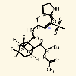 CC(C)(C)[C@@H](NC(=O)C(F)(F)F)C(=O)N1[C@H]2CC[C@@H]([C@@H]1C(=O)N[C@H](/C=C(\F)S(C)(=O)=O)C[C@@H]1CCNC1=O)C(F)(F)C2